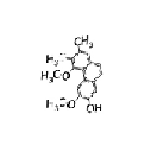 COc1cc2c(ccc3cc(C)c(C)c(OC)c32)cc1O